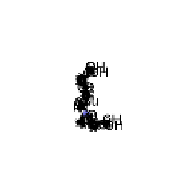 CCCCc1ncc(/C=C(\Cc2cccs2)C(=O)Oc2cccc(CON(O)O)c2)n1Cc1ccc(C(=O)Oc2cccc(CON(O)O)c2)cc1